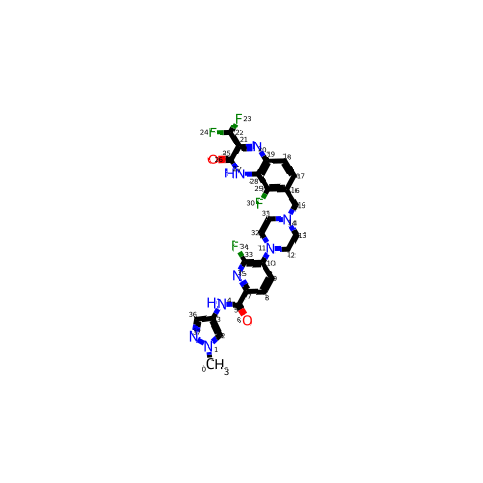 Cn1cc(NC(=O)c2ccc(N3CCN(Cc4ccc5nc(C(F)F)c(=O)[nH]c5c4F)CC3)c(F)n2)cn1